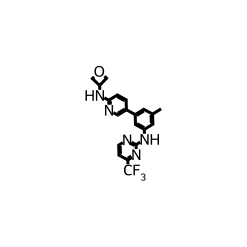 Cc1cc(Nc2nccc(C(F)(F)F)n2)cc(-c2ccc(NC3COC3)nc2)c1